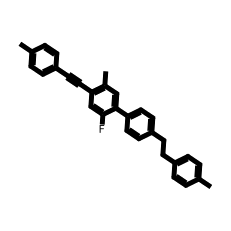 Cc1ccc(C#Cc2cc(F)c(-c3ccc(CCc4ccc(C)cc4)cc3)cc2C)cc1